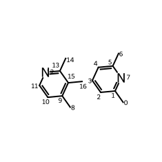 Cc1cccc(C)n1.Cc1ccnc(C)c1C